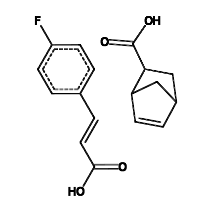 O=C(O)C1CC2C=CC1C2.O=C(O)C=Cc1ccc(F)cc1